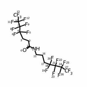 O=C(CCC(F)(F)C(F)(F)C(F)(F)C(F)(F)F)NCCCC(F)(F)C(F)(F)C(F)(F)C(F)(F)F